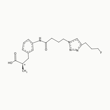 C[C@H](Cc1cccc(NC(=O)CCCn2cc(CCCF)nn2)c1)C(=O)O